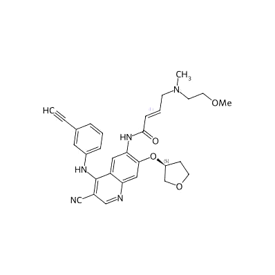 C#Cc1cccc(Nc2c(C#N)cnc3cc(O[C@H]4CCOC4)c(NC(=O)/C=C/CN(C)CCOC)cc23)c1